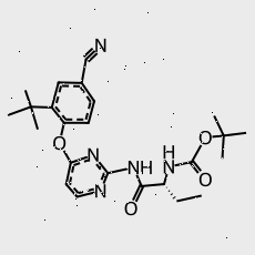 CC[C@@H](NC(=O)OC(C)(C)C)C(=O)Nc1nccc(Oc2ccc(C#N)cc2C(C)(C)C)n1